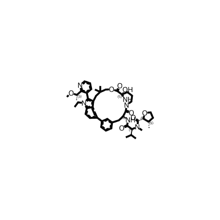 CCn1c(-c2cccnc2[C@H](C)OC)c2c3cc(ccc31)-c1cccc(c1)C[C@H](NC(=O)[C@H](C(C)C)N(C)C(=O)[C@@H]1OCC[C@@H]1C)C(=O)N1CCC[C@@](O)(N1)C(=O)OCC(C)(C)C2